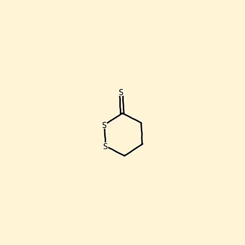 S=C1CCCSS1